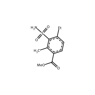 CCc1ccc(C(=O)OC)c(C)c1S(N)(=O)=O